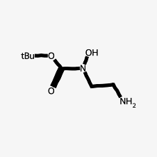 CC(C)(C)OC(=O)N(O)CCN